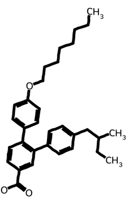 CCCCCCCCOc1ccc(-c2ccc(C(=O)O)cc2-c2ccc(CC(C)CC)cc2)cc1